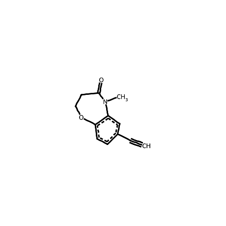 C#Cc1ccc2c(c1)N(C)C(=O)CCO2